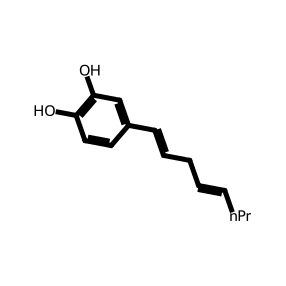 [CH2]CCC=CCC=Cc1ccc(O)c(O)c1